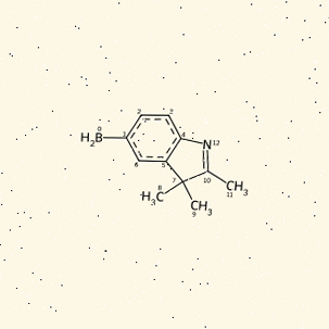 Bc1ccc2c(c1)C(C)(C)C(C)=N2